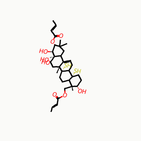 C/C=C/C(=O)OC[C@]1(C)C2CC[C@]3(S)C(CC=C4C5CC(C)(C)[C@@H](OC(=O)/C=C/C)[C@H](O)[C@]5(CO)[C@H](O)C[C@]43C)[C@@]2(S)CC[C@@H]1O